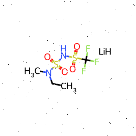 CCN(C)S(=O)(=O)NS(=O)(=O)C(F)(F)F.[LiH]